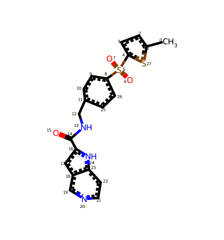 Cc1ccc(S(=O)(=O)c2ccc(CNC(=O)c3cc4cnccc4[nH]3)cc2)s1